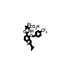 CCC(C)(C)[C@H](NC(=O)C1=C(OCc2ccc(C(F)(F)F)cc2)C2C=C(C3CC3)SC2C=C1)C(=O)O